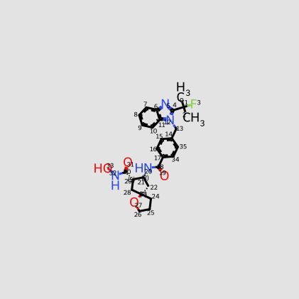 CC(C)(F)c1nc2ccccc2n1Cc1ccc(C(=O)N[C@@H]2C[C@@]3(CCCO3)C[C@@H]2C(=O)NO)cc1